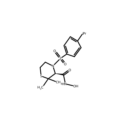 CC(C)c1ccc(S(=O)(=O)N2CCSC(C)(C)[C@@H]2C(=O)NO)cc1